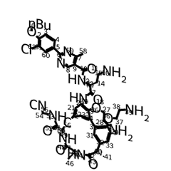 CCCCOc1ccc(-c2ncc(C(=O)N[C@@H](CCN)C(=O)Nc3cc4cc(c3OCCN)-c3cc(ccc3OCCN)[C@H](C)C(=O)N[C@@H](C)C(=O)N[C@H](C(=O)NCC#N)C4)c(C)n2)cc1Cl